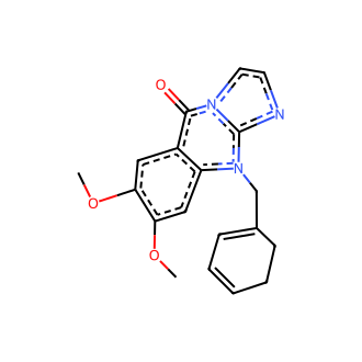 COc1cc2c(=O)n3ccnc3n(CC3=CC=CCC3)c2cc1OC